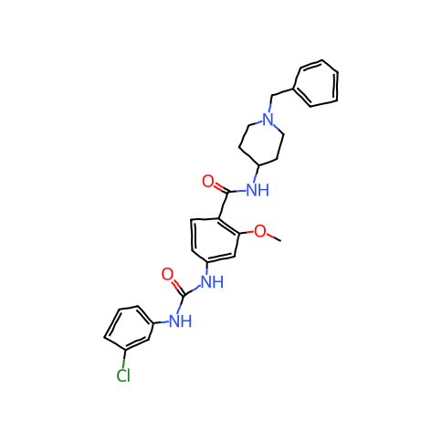 COc1cc(NC(=O)Nc2cccc(Cl)c2)ccc1C(=O)NC1CCN(Cc2ccccc2)CC1